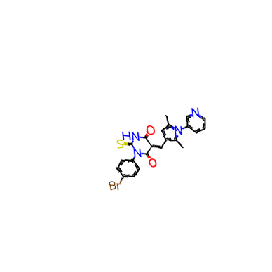 Cc1cc(/C=C2\C(=O)NC(=S)N(c3ccc(Br)cc3)C2=O)c(C)n1-c1cccnc1